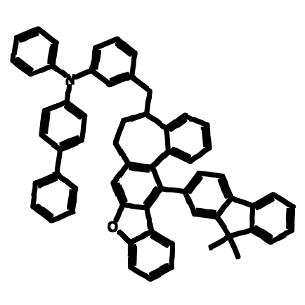 CC1(C)c2ccccc2-c2ccc(-c3c4c(cc5oc6ccccc6c35)CCC(Cc3cccc(N(c5ccccc5)c5ccc(-c6ccccc6)cc5)c3)c3ccccc3-4)cc21